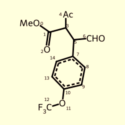 COC(=O)C(C(C)=O)C(C=O)c1ccc(OC(F)(F)F)cc1